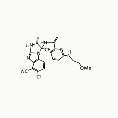 C=C(NC1(C(F)(F)F)C(=C)Nc2nc3c(C#N)c(Cl)ccc3n21)c1cccc(NCCOC)n1